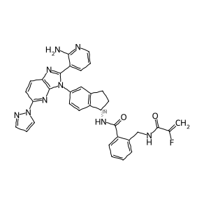 C=C(F)C(=O)NCc1ccccc1C(=O)N[C@H]1CCc2cc(-n3c(-c4cccnc4N)nc4ccc(-n5cccn5)nc43)ccc21